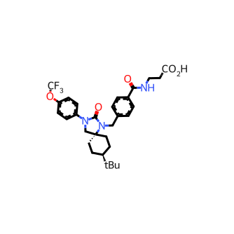 CC(C)(C)[C@H]1CC[C@]2(CC1)CN(c1ccc(OC(F)(F)F)cc1)C(=O)N2Cc1ccc(C(=O)NCCC(=O)O)cc1